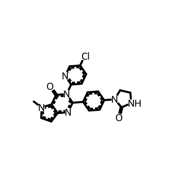 Cn1ccc2nc(-c3ccc(N4CCNC4=O)cc3)n(-c3ccc(Cl)cn3)c(=O)c21